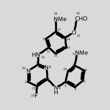 CNc1cccc(Nc2nc(Nc3ccc(OC=O)c(NC)c3)ncc2F)c1